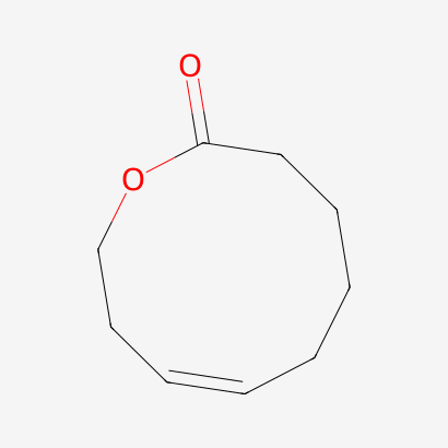 O=C1CCCC/C=C\CCO1